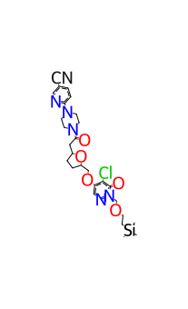 C[Si](C)(C)CCOCn1ncc(OCC2CCC(CC(=O)N3CCN(c4ccc(C#N)cn4)CC3)O2)c(Cl)c1=O